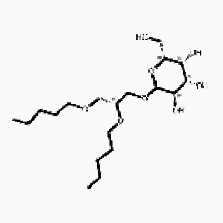 CCCCCOC[C@H](COC1O[C@H](CO)[C@H](O)[C@H](O)[C@H]1O)OCCCCC